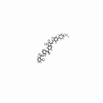 CN1CCN(c2ccc(NC=C3C(=O)Nc4cc(C(=O)c5cccc(NC(=O)c6ccncc6Cl)c5)ccc43)cc2)CC1